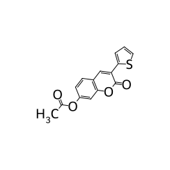 CC(=O)Oc1ccc2cc(-c3cccs3)c(=O)oc2c1